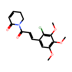 COc1cc(/C=C/C(=O)N2CCC=CC2=O)c(Cl)c(OC)c1OC